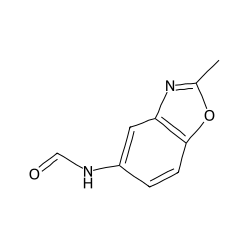 Cc1nc2cc(NC=O)ccc2o1